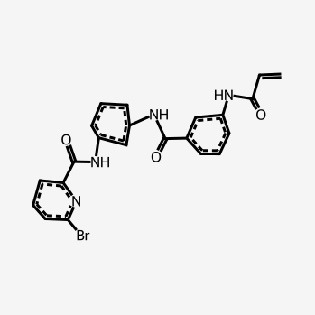 C=CC(=O)Nc1cccc(C(=O)Nc2cccc(NC(=O)c3cccc(Br)n3)c2)c1